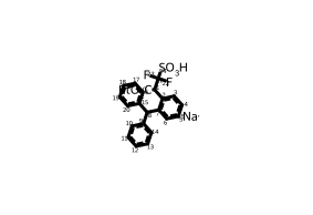 CCOC(=O)C(c1ccccc1C(c1ccccc1)c1ccccc1)C(F)(F)S(=O)(=O)O.[Na]